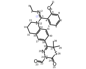 CC/N=C(/c1ccccc1OC)N1CCCc2cc(C3=NN(C=O)C(=O)SC3(C)C)ccc21